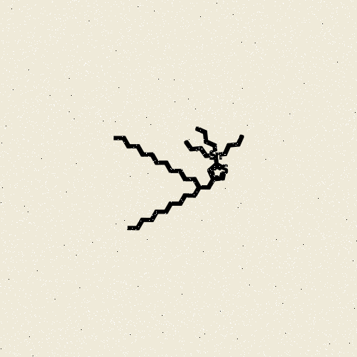 CCCCCCCCCCCCC(CCCCCCCCCC)Cc1cs[c]([Sn]([CH2]CCC)([CH2]CCC)[CH2]CCC)c1